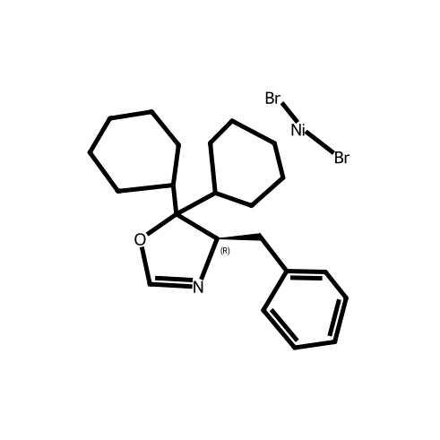 C1=N[C@H](Cc2ccccc2)C(C2CCCCC2)(C2CCCCC2)O1.[Br][Ni][Br]